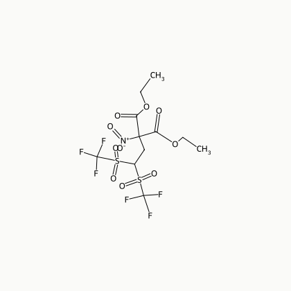 CCOC(=O)C(CC(S(=O)(=O)C(F)(F)F)S(=O)(=O)C(F)(F)F)(C(=O)OCC)[N+](=O)[O-]